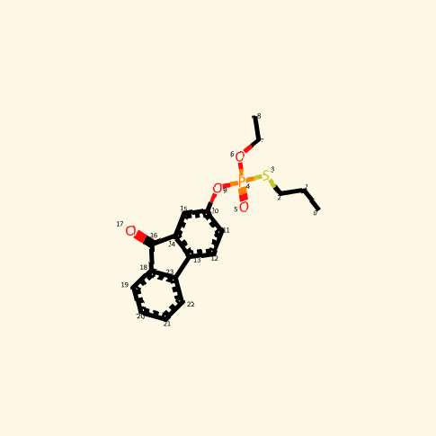 CCCSP(=O)(OCC)Oc1ccc2c(c1)C(=O)c1ccccc1-2